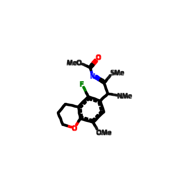 CNC(C(=NC(=O)OC)SC)c1cc(OC)c2c(c1F)CCCO2